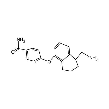 NCC1CCCc2c(Oc3ccc(C(N)=O)cn3)cccc21